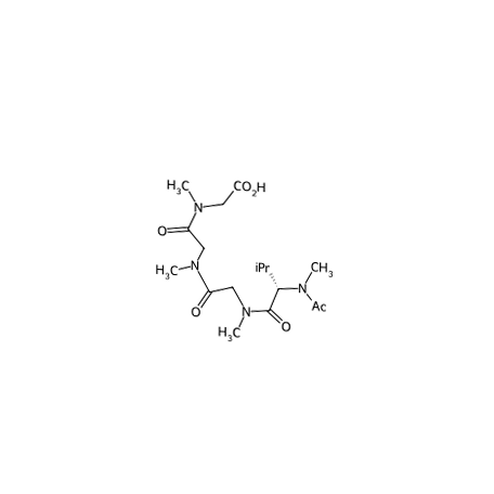 CC(=O)N(C)[C@H](C(=O)N(C)CC(=O)N(C)CC(=O)N(C)CC(=O)O)C(C)C